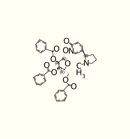 CN1CCC[C@@H]1c1ccc(=O)n(O[C@@H]2O[C@H](COC(=O)c3ccccc3)[C@@H](OC(=O)c3ccccc3)[C@H]2OC(=O)c2ccccc2)c1